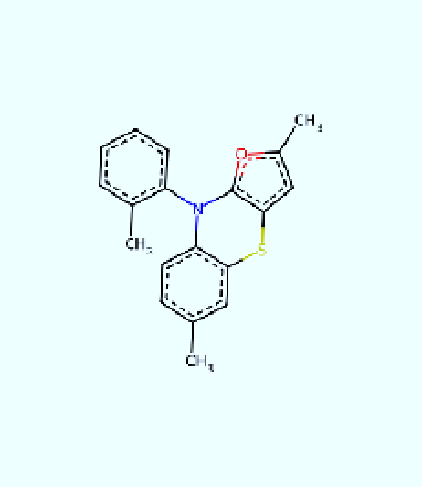 Cc1ccc2c(c1)Sc1cc(C)oc1N2c1ccccc1C